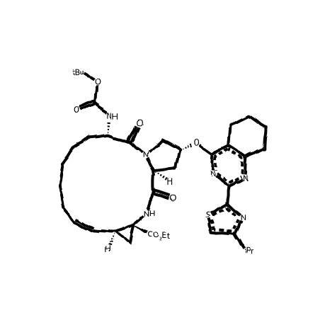 CCOC(=O)[C@@]12C[C@H]1/C=C\CCCCC[C@H](NC(=O)OC(C)(C)C)C(=O)N1C[C@H](Oc3nc(-c4nc(C(C)C)cs4)nc4c3CCCC4)C[C@H]1C(=O)N2